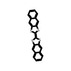 c1ccc2cc3c(cc2c1)SC(=C1Sc2cc4ccccc4cc2S1)S3